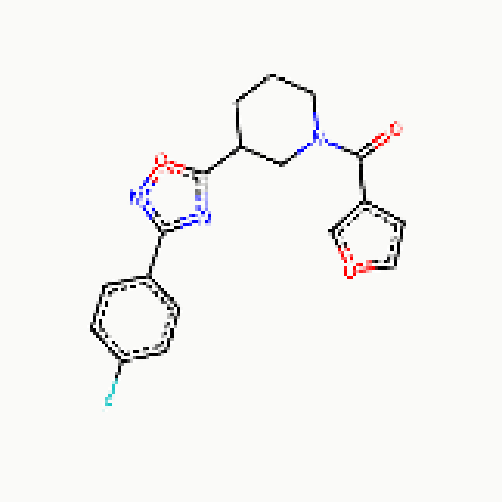 O=C(c1ccoc1)N1CCCC(c2nc(-c3ccc(F)cc3)no2)C1